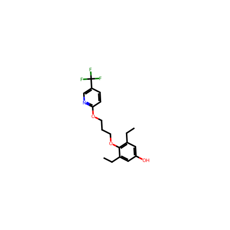 CCc1cc(O)cc(CC)c1OCCCOc1ccc(C(F)(F)F)cn1